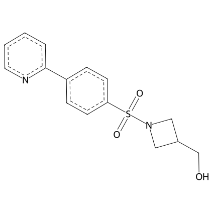 O=S(=O)(c1ccc(-c2ccccn2)cc1)N1CC(CO)C1